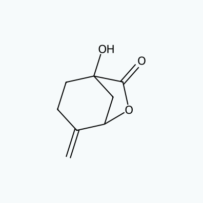 C=C1CCC2(O)CC1OC2=O